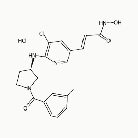 Cc1cccc(C(=O)N2CC[C@@H](Nc3ncc(/C=C/C(=O)NO)cc3Cl)C2)c1.Cl